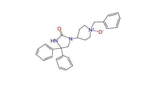 O=C1NC(c2ccccc2)(c2ccccc2)CN1C1CC[N+]([O-])(Cc2ccccc2)CC1